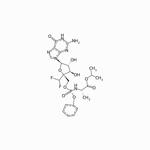 CC(C)OC(=O)[C@H](C)NP(=O)(OC[C@@]1(C(F)F)O[C@@H](n2cnc3c(=O)[nH]c(N)nc32)[C@H](O)[C@H]1O)Oc1ccccc1